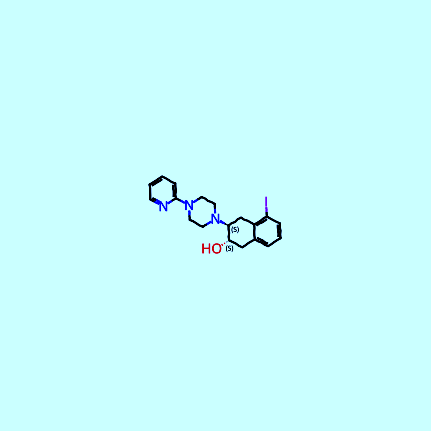 O[C@H]1Cc2cccc(I)c2C[C@@H]1N1CCN(c2ccccn2)CC1